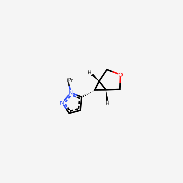 CC(C)n1nccc1[C@@H]1[C@@H]2COC[C@@H]21